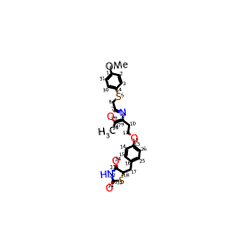 COc1ccc(SCc2nc(CCOc3ccc(CC4SC(=O)NC4=O)cc3)c(C)o2)cc1